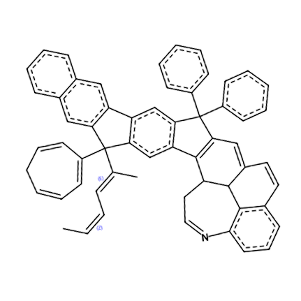 C/C=C\C=C(/C)C1(C2=CC=CCC=C2)c2cc3c(cc2-c2cc4ccccc4cc21)C(c1ccccc1)(c1ccccc1)C1=C3C2CC=Nc3cccc4c3C2C(=C1)C=C4